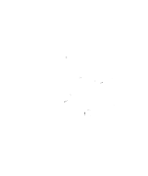 C=CCO[C@H]1O[C@H](COC(C)=O)[C@@H](OC(C)=O)C(OC(C)=O)[C@H]1OC(C)=O